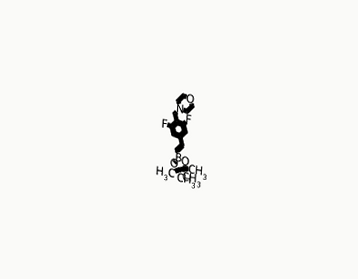 CC1(C)OB(C=Cc2cc(F)c(CN3CCOCC3)c(F)c2)OC1(C)C